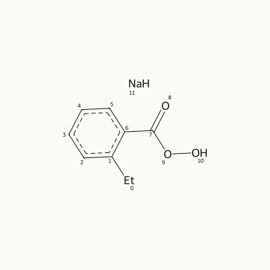 CCc1ccccc1C(=O)OO.[NaH]